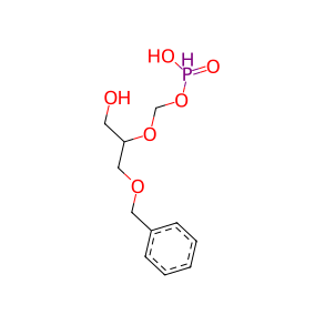 O=[PH](O)OCOC(CO)COCc1ccccc1